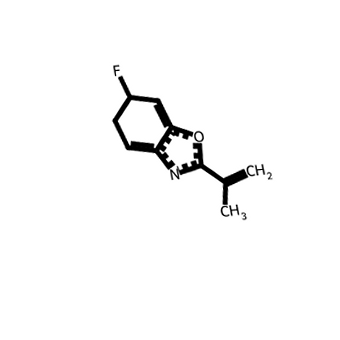 C=C(C)c1nc2c(o1)=CC(F)CC=2